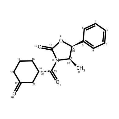 C[C@@H]1[C@H](c2ccccc2)OC(=O)N1C(=O)[C@H]1CCCC(=O)C1